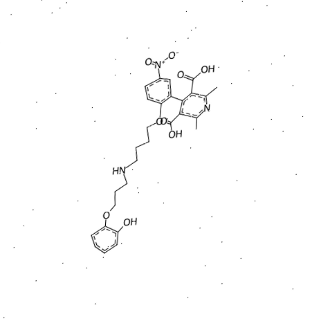 Cc1nc(C)c(C(=O)O)c(-c2cc([N+](=O)[O-])ccc2OCCCCNCCCOc2ccccc2O)c1C(=O)O